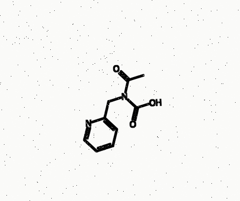 CC(=O)N(Cc1ccccn1)C(=O)O